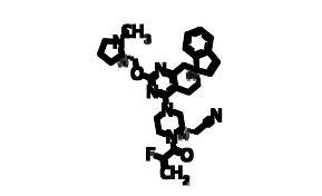 C=C(F)C(=O)N1CCN(c2nc(OC[C@@H]3CCCN3C)nc3c2CC[C@]2(C=Cc4ccccc42)C3)C[C@@H]1CC#N